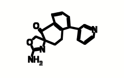 NC1=NC2(CCc3c(cccc3-c3cccnc3)C2=O)CO1